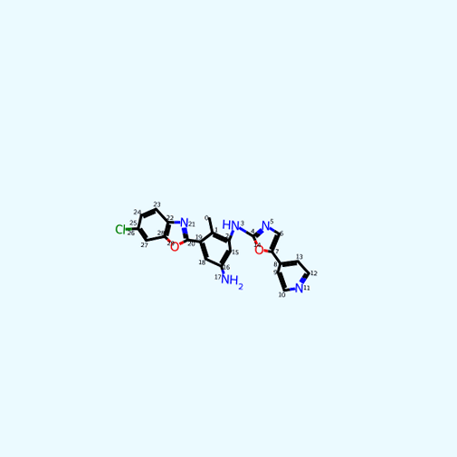 Cc1c(Nc2ncc(-c3ccncc3)o2)cc(N)cc1-c1nc2ccc(Cl)cc2o1